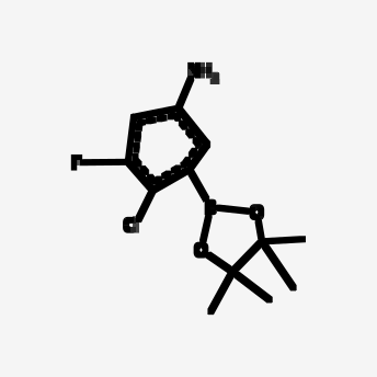 CC1(C)OB(c2cc(N)cc(F)c2Cl)OC1(C)C